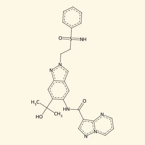 CC(C)(O)c1cc2nn(CCS(=N)(=O)c3ccccc3)cc2cc1NC(=O)c1cnn2cccnc12